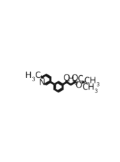 Cc1ccc(-c2cccc(C(=O)CC(=O)OC(C)(C)C)c2)cn1